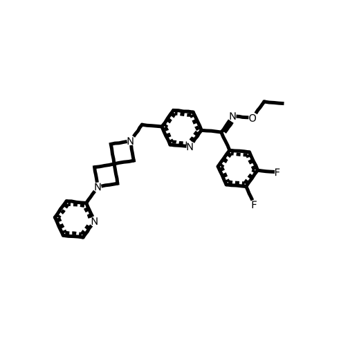 CCO/N=C(\c1ccc(F)c(F)c1)c1ccc(CN2CC3(C2)CN(c2ccccn2)C3)cn1